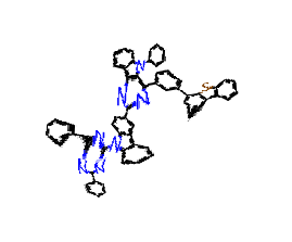 c1ccc(-c2nc(-c3ccccc3)nc(-n3c4ccccc4c4cc(-c5nc(-c6cccc(-c7cccc8c7sc7ccccc78)c6)c6c(n5)c5ccccc5n6-c5ccccc5)ccc43)n2)cc1